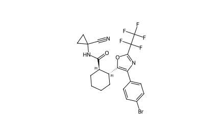 N#CC1(NC(=O)[C@@H]2CCCC[C@H]2c2oc(C(F)(F)C(F)(F)F)nc2-c2ccc(Br)cc2)CC1